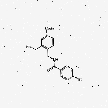 CCc1ccc(C(=O)NCc2ccc(OC)cc2CC(C)C)cc1